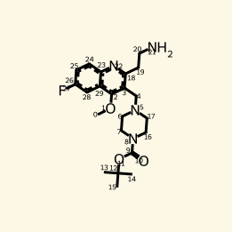 COc1c(CN2CCN(C(=O)OC(C)(C)C)CC2)c(CCN)nc2ccc(F)cc12